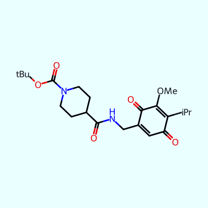 COC1=C(C(C)C)C(=O)C=C(CNC(=O)C2CCN(C(=O)OC(C)(C)C)CC2)C1=O